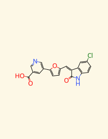 O=C1Nc2ccc(Cl)cc2C1=Cc1ccc(-c2cncc(C(=O)O)c2)o1